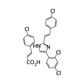 Clc1ccc(/C=C/c2nc(-c3ccc(Cl)cc3Cl)c[nH]2)cc1.O=C(O)/C=C/c1ccc(Cl)cc1